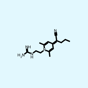 CCCC(C#N)=C1C=C(C)N(CCNC(=N)N)C(C)=C1